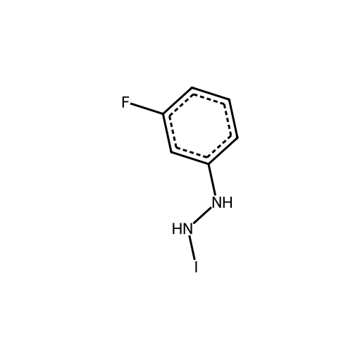 Fc1cccc(NNI)c1